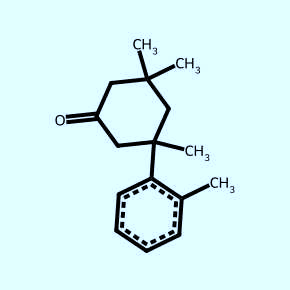 Cc1ccccc1C1(C)CC(=O)CC(C)(C)C1